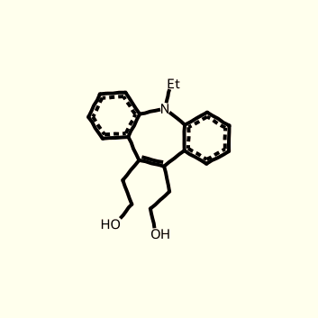 CCN1c2ccccc2C(CCO)=C(CCO)c2ccccc21